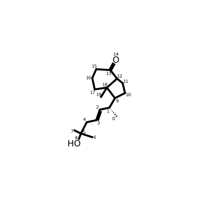 C[C@H](/C=C/CC(C)(C)O)C1CCC2C(=O)CCCC21C